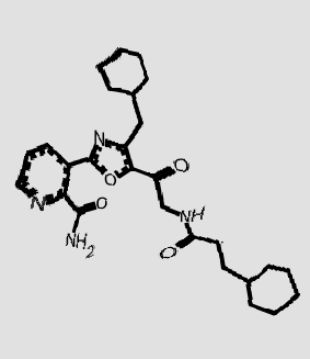 NC(=O)c1ncccc1-c1nc(CC2CCCCC2)c(C(=O)CNC(=O)[CH]CC2CCCCC2)o1